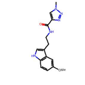 COc1ccc2[nH]cc(CCNC(=O)c3cn(C)nn3)c2c1